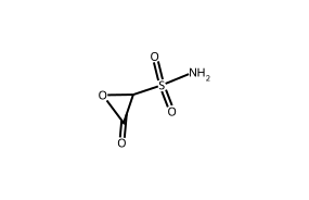 NS(=O)(=O)C1OC1=O